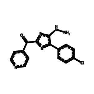 NNc1sc(C(=O)c2ccncc2)nc1-c1ccc(Cl)cc1